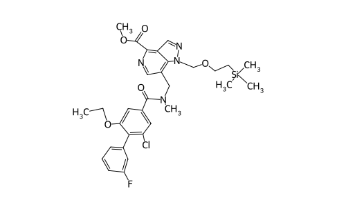 CCOc1cc(C(=O)N(C)Cc2cnc(C(=O)OC)c3cnn(COCC[Si](C)(C)C)c23)cc(Cl)c1-c1cccc(F)c1